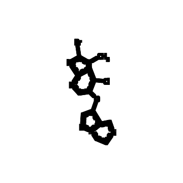 Cn1c(Br)nc2ncc(Oc3cnn4ccncc34)c(Cl)c21